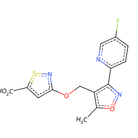 Cc1onc(-c2ccc(F)cn2)c1COc1cc(C(=O)O)sn1